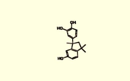 CC1(C)CC(C)(c2ccc(O)c(O)c2)c2cc(O)ccc21